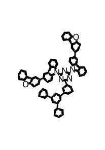 c1ccc(-c2cc(-c3ccccc3)cc(-c3cccc(-c4nc(-n5c6ccccc6c6cc(-c7ccc8oc9ccccc9c8c7)ccc65)nc(-n5c6ccccc6c6cc(-c7ccc8oc9ccccc9c8c7)ccc65)n4)c3)c2)cc1